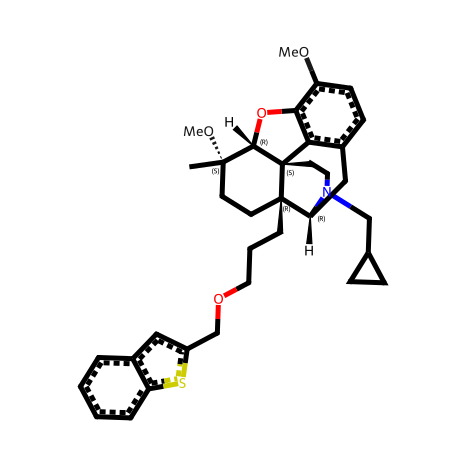 COc1ccc2c3c1O[C@@H]1[C@]34CCN(CC3CC3)[C@H](C2)[C@]4(CCCOCc2cc3ccccc3s2)CC[C@]1(C)OC